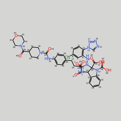 O=CC(=O)N(Nc1cc(Cl)ccc1-n1cnnn1)C1(C(=O)O)C(NC(=O)CCc2ccc(NC(=O)N3CCC(C(=O)N4CCOCC4)CC3)cc2)c2ccccc2N1C(=O)O